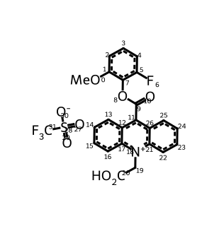 COc1cccc(F)c1OC(=O)c1c2ccccc2[n+](CC(=O)O)c2ccccc12.O=S(=O)([O-])C(F)(F)F